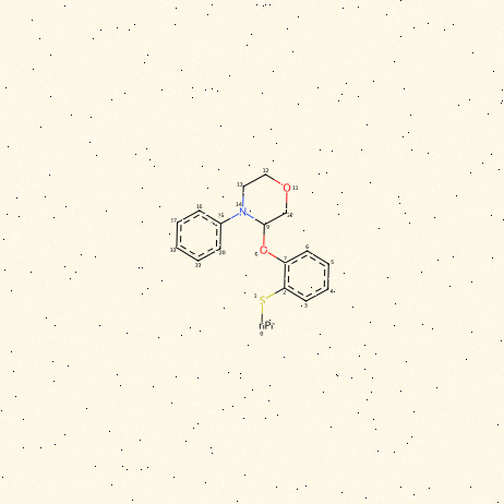 CCCSc1ccccc1OC1COCCN1c1ccccc1